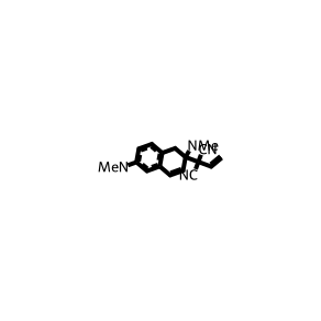 C=CC(C#N)(C#N)C1(NC)C=Cc2cc(NC)ccc2C1